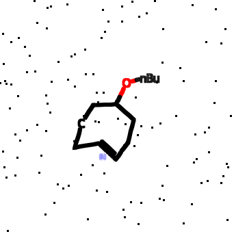 CCCCOC1CC/C=C/CCC1